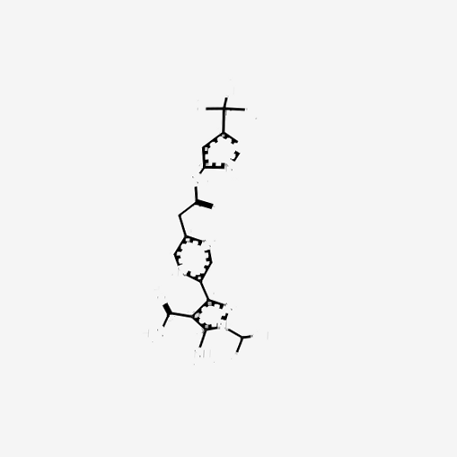 CC(C)n1nc(-c2cnc(CC(=O)Nc3cc(C(C)(C)C)on3)cn2)c(C(N)=O)c1N